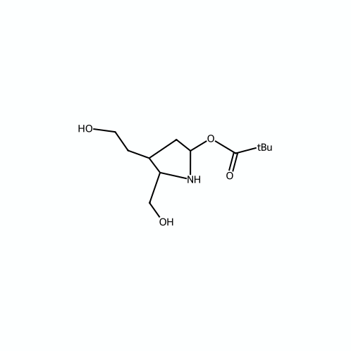 CC(C)(C)C(=O)OC1CC(CCO)C(CO)N1